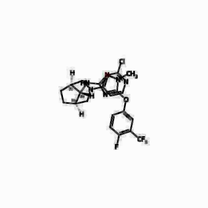 Cn1nc(N[C@@H]2[C@@H]3CC[C@H]2CN(c2ccnc(Cl)c2)C3)nc1Oc1ccc(F)c(C(F)(F)F)c1